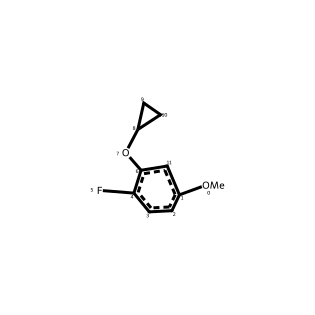 COc1ccc(F)c(OC2CC2)c1